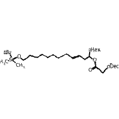 CCCCCCCCCCCC(=O)OC(CC=CCCCCCCCCO[Si](C)(C)C(C)(C)C)CCCCCC